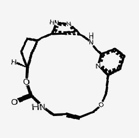 O=C1NC/C=C/COCc2cccc(n2)Nc2cc([nH]n2)C2CC[C@H](C2)O1